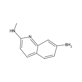 Bc1ccc2ccc(NC)nc2c1